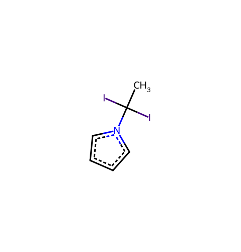 CC(I)(I)n1cccc1